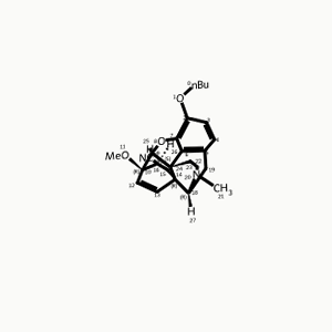 CCCCOc1ccc2c3c1O[C@H]1[C@@]4(OC)C=C[C@@]5(C[C@@H]4C#N)[C@@H](C2)N(C)CC[C@]315